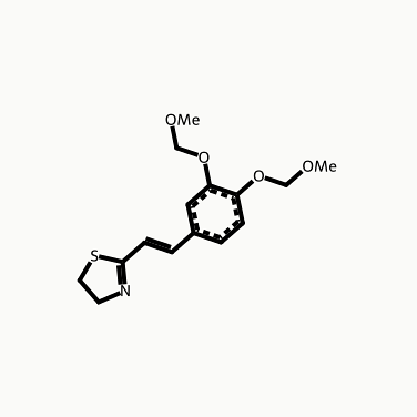 COCOc1ccc(/C=C/C2=NCCS2)cc1OCOC